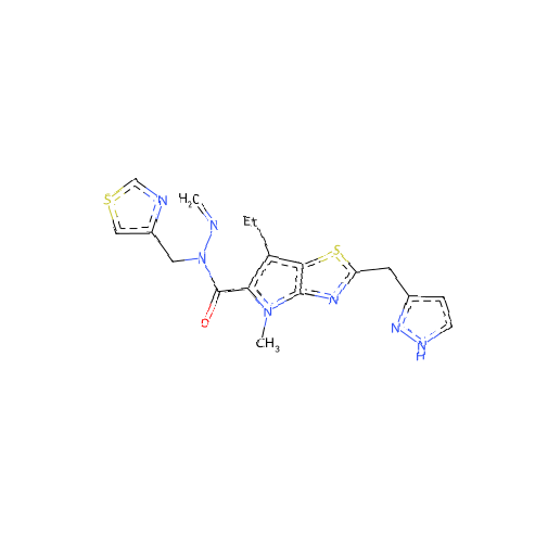 C=NN(Cc1cscn1)C(=O)c1c(CC)c2sc(Cc3cc[nH]n3)nc2n1C